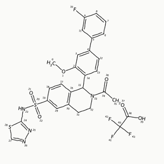 COc1cc(-c2cccc(F)c2)ccc1C1c2ccc(S(=O)(=O)Nc3nncs3)cc2CCN1C(C)=O.O=C(O)C(F)(F)F